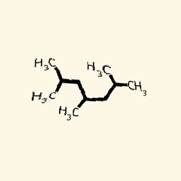 C[C](C)C[C](C)C[C](C)C